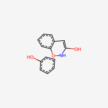 OC1=Cc2ccccc2ON1.Oc1ccccc1